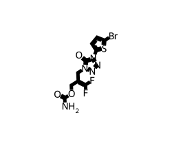 NC(=O)OCC(Cn1nnn(-c2ccc(Br)s2)c1=O)=C(F)F